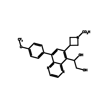 O=C(O)N1CC(c2cc(-c3ccc(OC(F)(F)F)cc3)c3nccnc3c2C(O)CO)C1